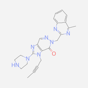 CC#CCn1c(N2CCNCC2)nc2cnn(Cc3nc(C)c4ccccc4n3)c(=O)c21